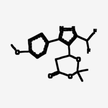 COc1ccc(-c2nsc(C(F)F)c2C2CC(=O)OC(C)(C)O2)cc1